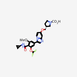 COc1cc(-c2cnc3cc(OC[C@@H]4CCN(C(=O)O)C4)ccn23)cc(OC(F)F)c1C(=O)NC1CC1